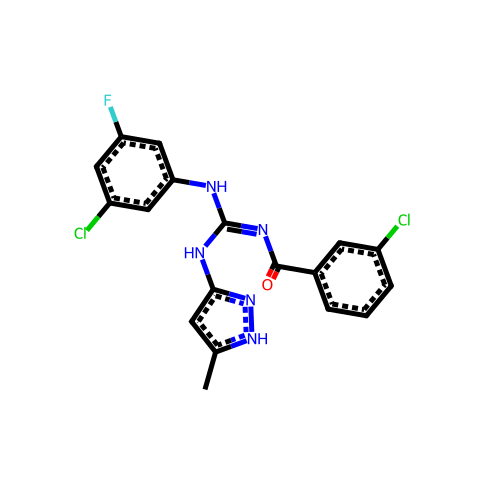 Cc1cc(N/C(=N\C(=O)c2cccc(Cl)c2)Nc2cc(F)cc(Cl)c2)n[nH]1